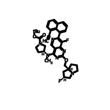 C#Cc1cccc2cccc(-c3ncc4c(N(C)[C@@H]5CCN(C(=O)OC(C)(C)C)C5)nc(OC[C@@]56CCCN5C[C@H](F)C6)nc4c3F)c12